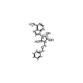 Nc1ncnc2c1ncn2[C@H]1[C@H](O)[C@H](O)[C@@H](COCc2ccccc2)[C@@H]1O